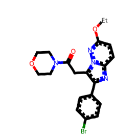 CCOc1ccc2nc(-c3ccc(Br)cc3)c(CC(=O)N3CCOCC3)n2n1